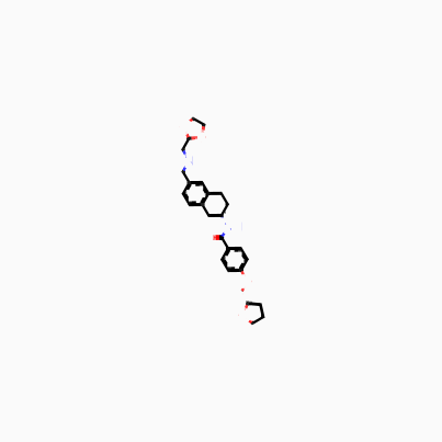 O=C(N[C@H]1CCc2cc(CNCC3OCCO3)ccc2C1)c1ccc(OC[C@@H]2CCCO2)cc1